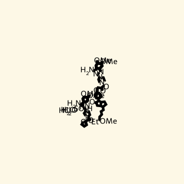 CCC(CCCCC1CCC2CC(=O)CC12)OC.COc1cc2nc(N3CCN(C(=O)C4CCCO4)CC3)nc(N)c2cc1OC.COc1cc2nc(N3CCN(C(=O)C4COc5ccccc5O4)CC3)nc(N)c2cc1OC.CS(=O)(=O)O.Cl.O.O